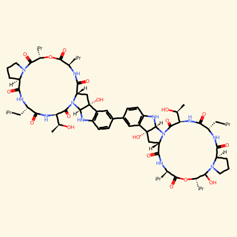 CC(C)C[C@@H]1NC(=O)[C@H]2CCCN2C(=O)[C@H](C(C)C)OC(=O)[C@@H](C(C)C)NC(=O)[C@@H]2C[C@@]3(O)c4cc(-c5ccc6c(c5)[C@]5(O)C[C@H]7C(=O)N[C@H](C(C)C)C(=O)O[C@@H](C(C)C)C(O)N8CCC[C@@H]8C(=O)N[C@@H](CC(C)C)C(=O)N[C@H]([C@H](C)O)C(=O)N7[C@@H]5N6)ccc4N[C@H]3N2C(=O)[C@@H]([C@H](C)O)NC1=O